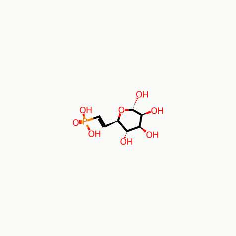 O=P(O)(O)/C=C/[C@H]1O[C@H](O)[C@@H](O)[C@@H](O)[C@@H]1O